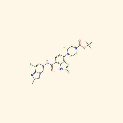 Cc1cn2cc(NC(=O)c3ccc(N4CCN(C(=O)OC(C)(C)C)C[C@H]4C)c4cc(C)[nH]c34)cc(F)c2n1